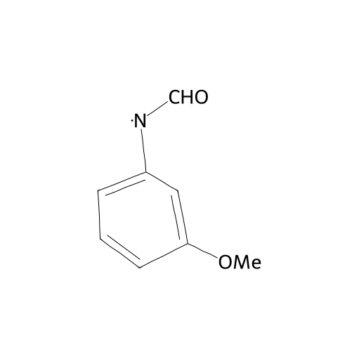 COc1cccc([N]C=O)c1